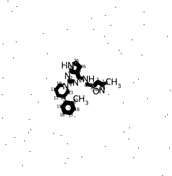 Cc1cc(CNc2nc(N3CCC[C@@H](c4ccccc4C)C3)nc3[nH]ccc23)on1